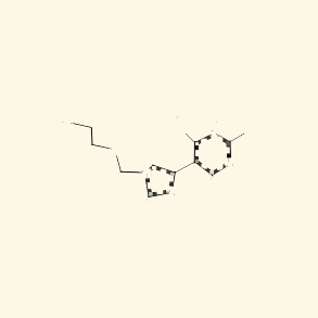 OCCOCn1cnc(-c2cnc(O)nc2O)c1